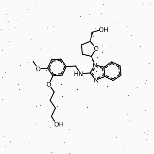 COc1ccc(CNc2nc3ccccc3n2[C@H]2CC[C@@H](CO)O2)cc1OCCCCO